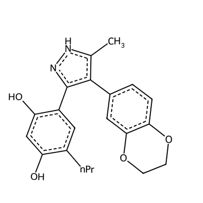 CCCc1cc(-c2n[nH]c(C)c2-c2ccc3c(c2)OCCO3)c(O)cc1O